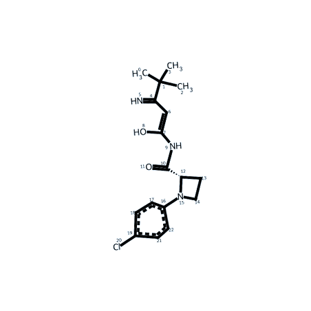 CC(C)(C)C(=N)/C=C(\O)NC(=O)[C@@H]1CCN1c1ccc(Cl)cc1